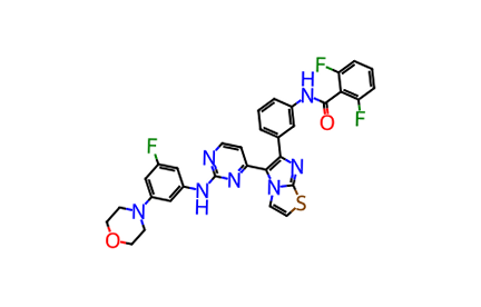 O=C(Nc1cccc(-c2nc3sccn3c2-c2ccnc(Nc3cc(F)cc(N4CCOCC4)c3)n2)c1)c1c(F)cccc1F